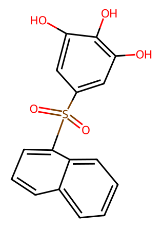 O=S(=O)(c1cc(O)c(O)c(O)c1)c1cccc2ccccc12